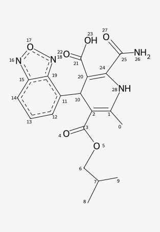 CC1=C(C(=O)OCC(C)C)C(c2cccc3nonc23)C(C(=O)O)=C(C(N)=O)N1